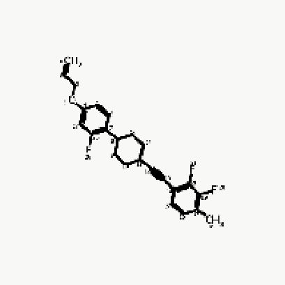 C=CCOc1ccc(C2CCC(C#Cc3ccc(C)c(F)c3F)CC2)c(F)c1